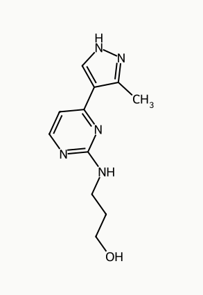 Cc1n[nH]cc1-c1ccnc(NCCCO)n1